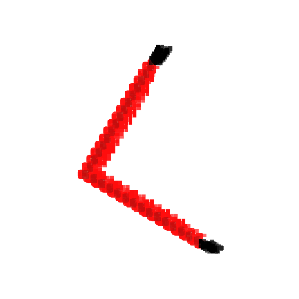 O=S(O)O.O=S(O)O.O=S(O)O.O=S(O)O.O=S(O)O.O=S(O)O.O=S(O)O.O=S(O)O.O=S(O)O.O=S(O)O.O=S(O)O.O=S(O)O.O=S(O)O.O=S(O)O.O=S(O)O.O=S(O)O.O=S(O)O.O=S(O)O.O=S(O)O.O=S(O)O.O=S(O)O.O=S(O)O.O=S(O)O.O=S(O)O.O=S([O-])O.O=S([O-])[O-].O=S([O-])[O-].O=S([O-])[O-].O=S([O-])[O-].O=S([O-])[O-].[Na+].[Na+].[Na+].[Na+].[Na+].[Na+].[Na+].[Na+].[Na+].[Na+].[Na+]